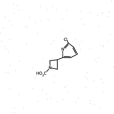 O=C(O)N1CC(c2cccc(Cl)n2)C1